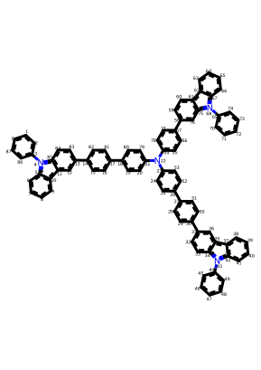 c1ccc(-n2c3ccccc3c3cc(-c4ccc(-c5ccc(N(c6ccc(-c7ccc(-c8ccc9c(c8)c8ccccc8n9-c8ccccc8)cc7)cc6)c6ccc(-c7ccc8c9ccccc9n(-c9ccccc9)c8c7)cc6)cc5)cc4)ccc32)cc1